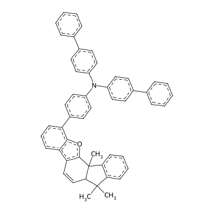 CC1(C)c2ccccc2C2(C)c3oc4c(-c5ccc(N(c6ccc(-c7ccccc7)cc6)c6ccc(-c7ccccc7)cc6)cc5)cccc4c3C=CC12